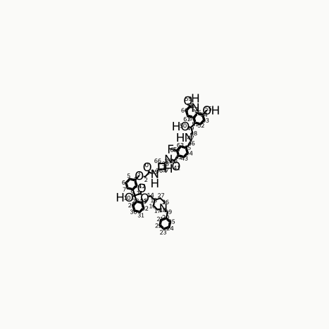 O=C(COc1cccc(C(O)(C(=O)OCC2CCN(Cc3ccccc3)CC2)c2ccccc2)c1)NC1CC(NC(=O)c2ccc(CNCC(O)c3ccc(O)c4[nH]c(=O)ccc34)cc2F)C1